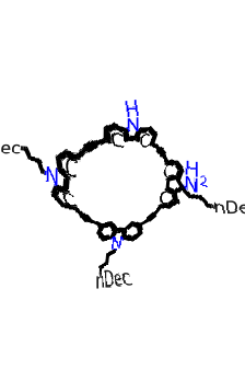 CCCCCCCCCCCCCCn1c2ccc3cc2c2cc(ccc21)C#Cc1ccc2c(c1)c1cc(ccc1n2CCCCCCCCCCCCCC)C#Cc1ccc2[nH]c4ccc(cc4c2c1)C#Cc1ccc2c(c1)-c1cc(ccc1C2(N)CCCCCCCCCCCCC)C#C3